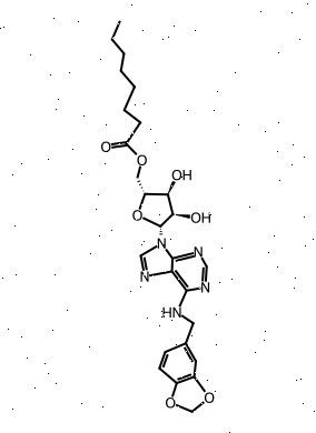 CCCCCCCC(=O)OC[C@H]1O[C@@H](n2cnc3c(NCc4ccc5c(c4)OCO5)ncnc32)[C@H](O)[C@@H]1O